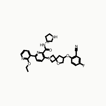 CCOc1ncccc1-c1ccc(N2CC3(CC(Oc4ccc(F)cc4C#N)CO3)C2)c(C(=O)N[C@@H]2CCNC2)n1